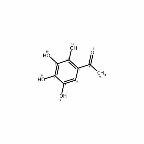 CC(=O)c1cc(O)c(O)c(O)c1O